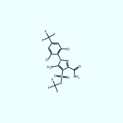 NC(=O)c1nn(-c2c(Cl)cc(C(F)(F)F)cc2Cl)c(N)c1S(=O)(=O)OC(F)(F)F